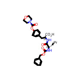 CC(C)C[C@H](NC(=O)OCc1ccccc1)C(=O)N[C@@H](Cc1ccc(OC(=O)N2CCOCC2)cc1)C(=O)O